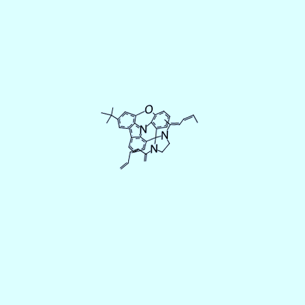 C=C/C=C\C(=C)N1CCN(/C(C)=C/C=C\C)C12c1cccc3c1-n1c4c(cc(C(C)(C)C)cc4c4cccc2c41)O3